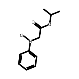 CC(C)OC(=O)CN(Cl)c1ccccc1